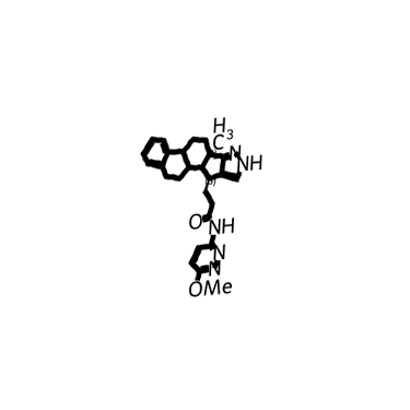 COc1ccc(NC(=O)CC[C@@H]2c3c[nH]nc3[C@@]3(C)CCC4c5ccccc5CCC4C23)nn1